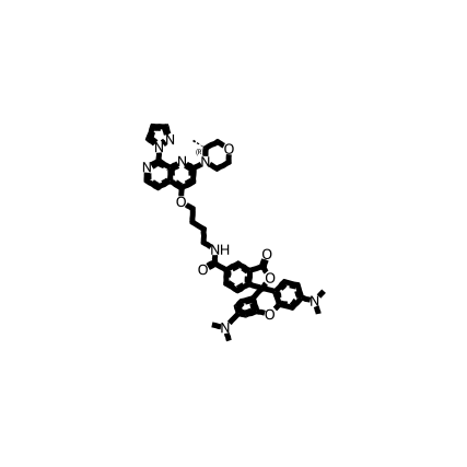 C[C@@H]1COCCN1c1cc(OCCCCNC(=O)c2ccc3c(c2)C(=O)OC32c3ccc(N(C)C)cc3Oc3cc(N(C)C)ccc32)c2ccnc(-n3cccn3)c2n1